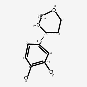 Clc1ccc([C@H]2CCOPO2)cc1Cl